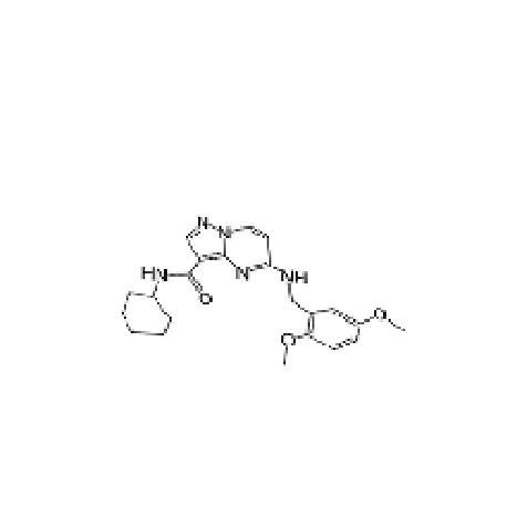 COc1ccc(OC)c(CNc2ccn3ncc(C(=O)NC4CCCCC4)c3n2)c1